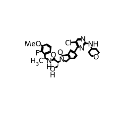 COc1cccc([C@@H](C)NC(=O)[C@@H](CO)N2Cc3ccc(-c4nc(NC5CCOCC5)ncc4Cl)cc3C2=O)c1F